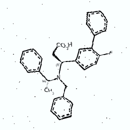 C[C@H](c1ccccc1)N(Cc1ccccc1)[C@@H](CC(=O)O)c1ccc(F)c(-c2ccccc2)c1